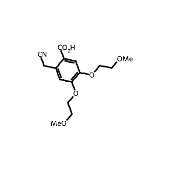 COCCOc1cc(CC#N)c(C(=O)O)cc1OCCOC